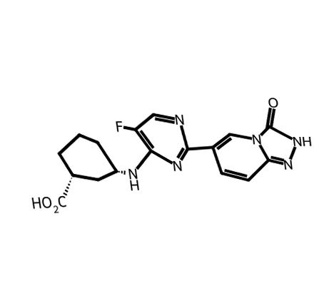 O=C(O)[C@@H]1CCC[C@H](Nc2nc(-c3ccc4n[nH]c(=O)n4c3)ncc2F)C1